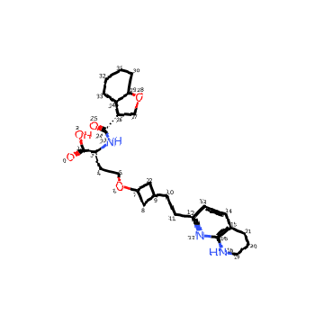 O=C(O)[C@H](CCOC1CC(CCc2ccc3c(n2)NCCC3)C1)NC(=O)[C@H]1COC2CCCCC21